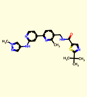 Cc1nc(-c2ccnc(Nc3cnn(C)c3)c2)ccc1CNC(=O)c1cnc(C(C)(C)C)s1